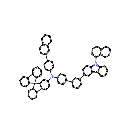 c1cc(-c2ccc(N(c3ccc(-c4ccc5ccccc5c4)cc3)c3ccc4c(c3)C3(c5ccccc5-c5ccccc53)c3ccccc3-4)cc2)cc(-c2ccc3c(c2)c2ccccc2n3-c2cccc3ccccc23)c1